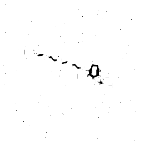 CC(=O)N[C@@H]1[C@@H](O)[C@@H](O)[C@]2(COCCOCCOCCOCCN)CC[C@H]1O2